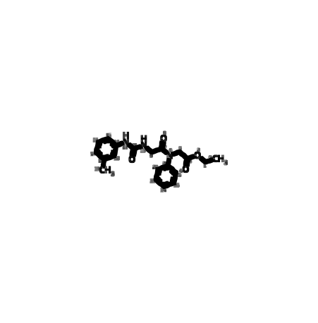 CCOC(=O)CN(C(=O)CNC(=O)Nc1cccc(C)c1)c1ccccc1